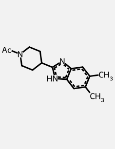 CC(=O)N1CCC(c2nc3cc(C)c(C)cc3[nH]2)CC1